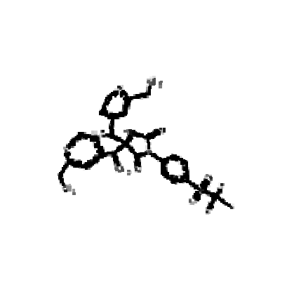 CCc1cc(C(C)C2(C(C)c3ccnc(CC)c3)NC(=O)N(c3ccc(S(=O)(=O)C(F)(F)F)cc3)C2=O)ccn1